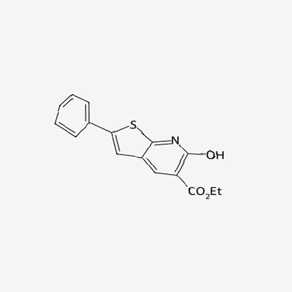 CCOC(=O)c1cc2cc(-c3ccccc3)sc2nc1O